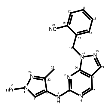 CCCn1cc(Nc2ncc3cnn(Cc4ccccc4C#N)c3n2)c(C)n1